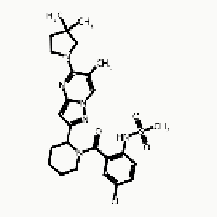 Cc1cn2nc([C@@H]3CCCCN3C(=O)c3cc(Cl)ccc3NS(C)(=O)=O)cc2nc1N1CCC(C)(C)C1